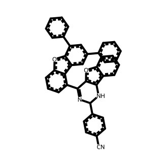 N#Cc1ccc(C2N=C(c3cccc4oc5c(-c6ccccc6)cc(-c6ccccc6)cc5c34)c3oc4ccccc4c3N2)cc1